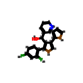 OC(c1cccnc1)c1c(-c2cccs2)csc1-c1ccc(F)cc1F